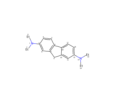 CCN(CC)c1ccc2c(c1)Cc1cc(N(CC)CC)ccc1-2